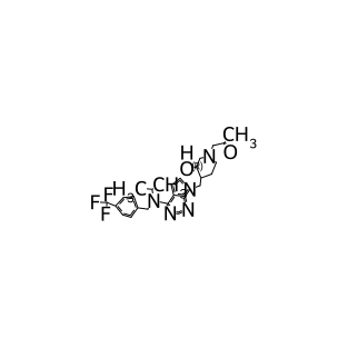 CC(=O)CN1CCC(Cn2ccc3c(N(Cc4ccc(C(F)(F)F)cc4)C(C)C)ncnc32)[C@@H](O)C1